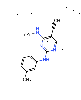 C#Cc1cnc(Nc2cccc(C#N)c2)nc1NCCC